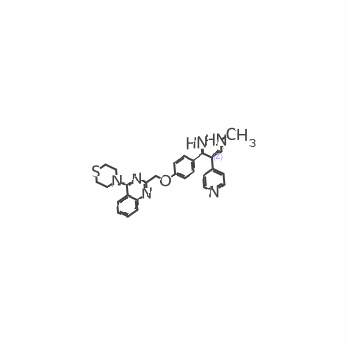 CN/C=C(\C(=N)c1ccc(OCc2nc(N3CCSCC3)c3ccccc3n2)cc1)c1ccncc1